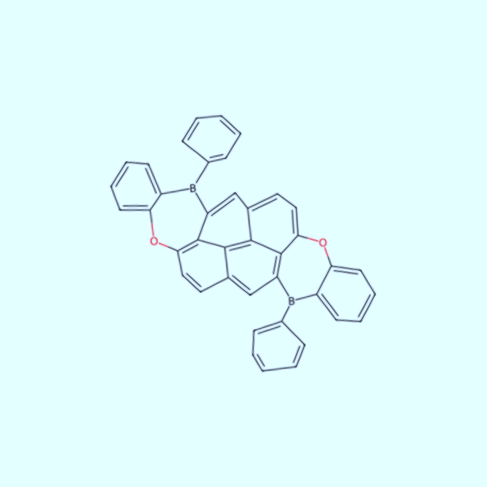 c1ccc(B2c3ccccc3Oc3ccc4cc5c6c(ccc7cc2c3c4c76)Oc2ccccc2B5c2ccccc2)cc1